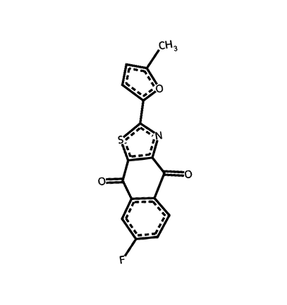 Cc1ccc(-c2nc3c(s2)C(=O)c2cc(F)ccc2C3=O)o1